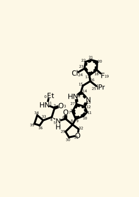 CCNC(=O)[C@H](NC(=O)C1(c2ccc3nc(CC(c4c(F)cccc4Cl)C(C)C)[nH]c3c2)CCOC1)C1CCC1